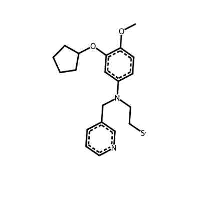 COc1ccc(N(CC[S])Cc2cccnc2)cc1OC1CCCC1